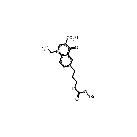 CCOC(=O)c1cn(CC(F)(F)F)c2ccc(CCCNC(=O)OC(C)(C)C)cc2c1=O